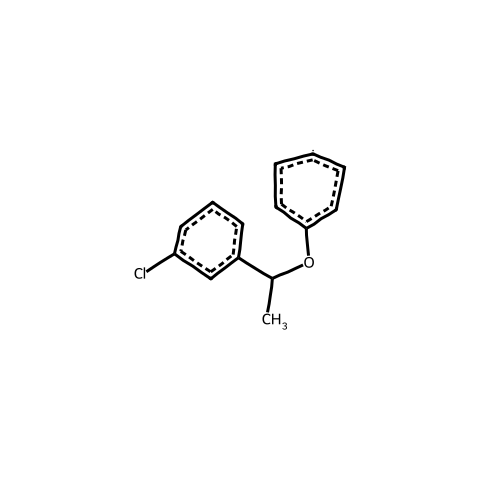 CC(Oc1cc[c]cc1)c1cccc(Cl)c1